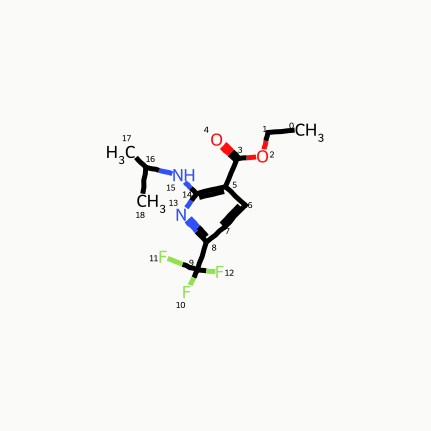 CCOC(=O)c1ccc(C(F)(F)F)nc1NC(C)C